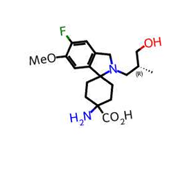 COc1cc2c(cc1F)CN(C[C@@H](C)CO)C21CCC(N)(C(=O)O)CC1